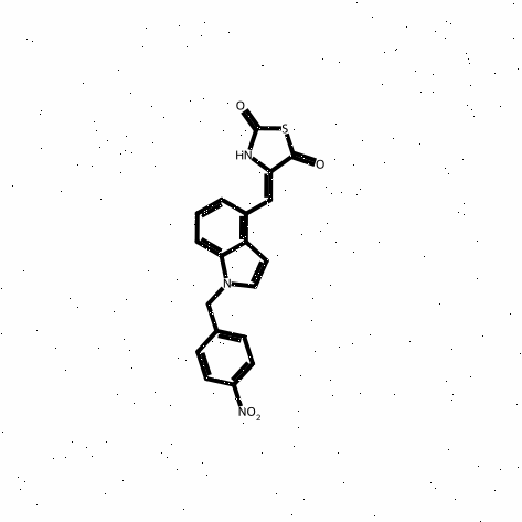 O=C1NC(=Cc2cccc3c2ccn3Cc2ccc([N+](=O)[O-])cc2)C(=O)S1